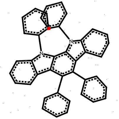 c1ccc(-c2c(-c3ccccc3)c3c4ccccc4n(-c4ccccc4)c3c3c2c2ccccc2n3-c2ccccc2)cc1